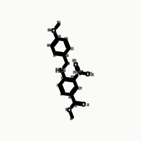 COC(=O)c1ccc(NCc2ccc(OC)cc2)c([N+](=O)[O-])c1